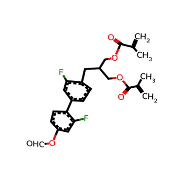 C=C(C)C(=O)OCC(COC(=O)C(=C)C)Cc1ccc(-c2ccc(OC=O)cc2F)cc1F